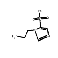 CCCn1cncc1S(=O)(=O)O